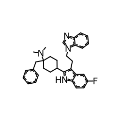 CN(C)C1(Cc2ccccc2)CCC(c2[nH]c3ccc(F)cc3c2CCn2cnc3ccccc32)CC1